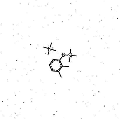 C[N+](C)(C)C.Cc1cccc([B][Si](C)(C)C)c1C